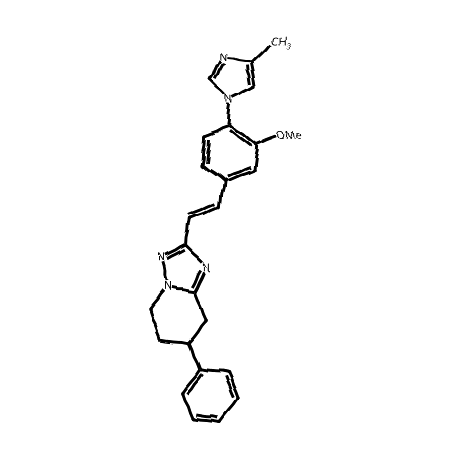 COc1cc(C=Cc2nc3n(n2)CCC(c2ccccc2)C3)ccc1-n1cnc(C)c1